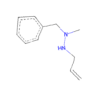 C=CCNN(C)Cc1ccccc1